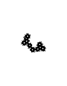 c1cc(-c2ccc(-c3cc4c5ccccc5sc4c4ccccc34)cc2)cc(-c2ccc3c4ccccc4c4ccccc4c3c2)c1